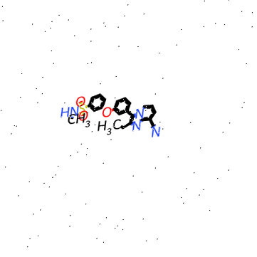 CCc1nc2c(C#N)cccn2c1-c1cccc(Oc2cccc(S(=O)(=O)NC)c2)c1